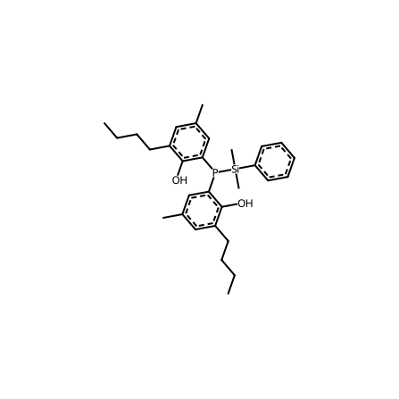 CCCCc1cc(C)cc(P(c2cc(C)cc(CCCC)c2O)[Si](C)(C)c2ccccc2)c1O